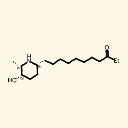 CCC(=O)CCCCCCCC[C@@H]1CC[C@H](O)[C@H](C)N1